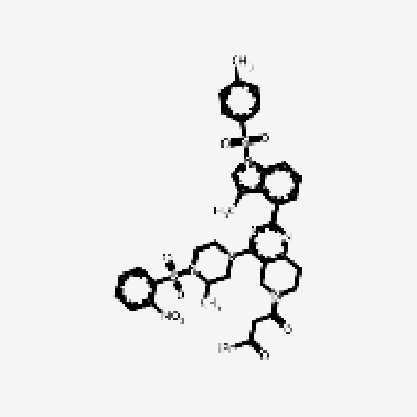 Cc1ccc(S(=O)(=O)n2cc(C)c3c(-c4nc5c(c(N6CCN(S(=O)(=O)c7ccccc7[N+](=O)[O-])C(C)C6)n4)CN(C(=O)CC(=O)C(C)C)CC5)cccc32)cc1